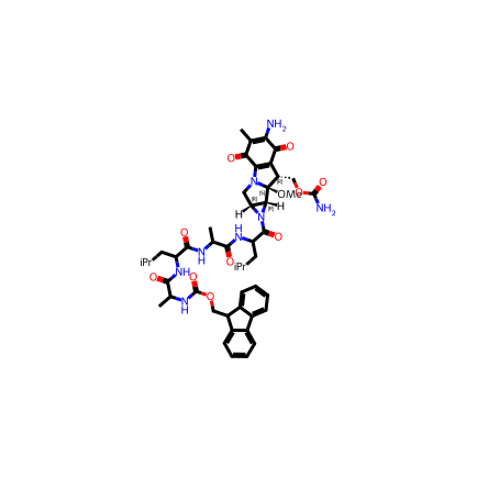 CO[C@]12[C@@H](COC(N)=O)C3=C(C(=O)C(C)=C(N)C3=O)N1C[C@@H]1[C@H]2N1C(=O)C(CC(C)C)NC(=O)C(C)NC(=O)C(CC(C)C)NC(=O)C(C)NC(=O)OCC1c2ccccc2-c2ccccc21